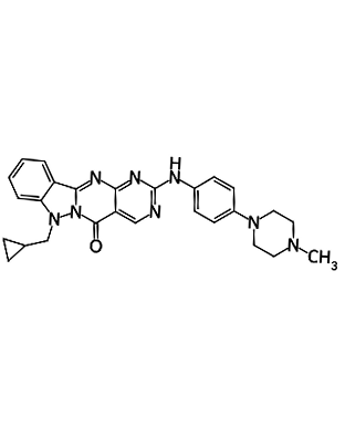 CN1CCN(c2ccc(Nc3ncc4c(=O)n5c(nc4n3)c3ccccc3n5CC3CC3)cc2)CC1